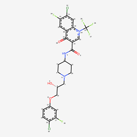 O=C(NC1CCN(C[C@@H](O)COc2ccc(Cl)c(F)c2)CC1)c1cn(C(F)(F)F)c2cc(Cl)c(F)cc2c1=O